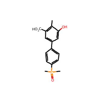 Cc1c(O)cc(-c2ccc(P(C)(C)=O)cc2)cc1C(=O)O